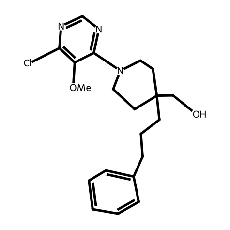 COc1c(Cl)ncnc1N1CCC(CO)(CCCc2ccccc2)CC1